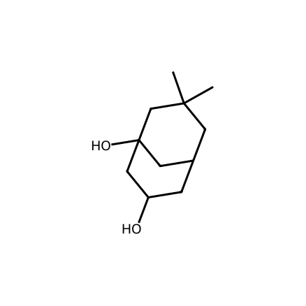 CC1(C)CC2CC(O)CC(O)(C2)C1